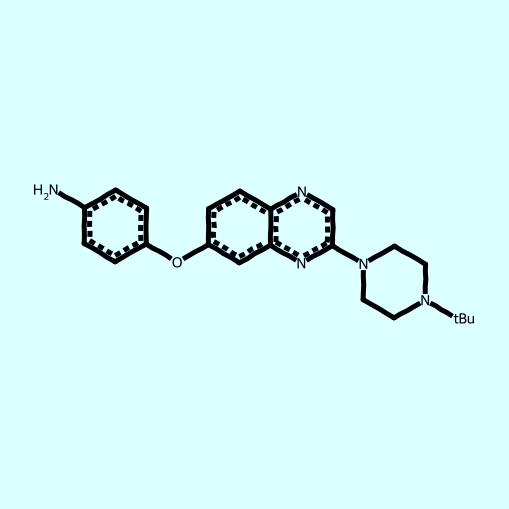 CC(C)(C)N1CCN(c2cnc3ccc(Oc4ccc(N)cc4)cc3n2)CC1